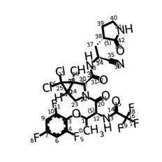 CC(Oc1c(F)cc(F)cc1F)[C@H](NC(=O)C(F)(F)F)C(=O)N1C[C@@H]2C(Cl)(Cl)[C@@]2(C)[C@H]1C(=O)N[C@H](C#N)C[C@@H]1CCNC1=O